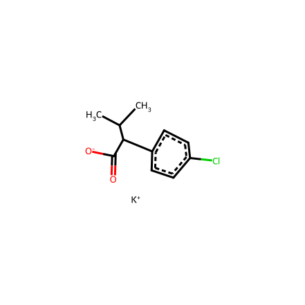 CC(C)C(C(=O)[O-])c1ccc(Cl)cc1.[K+]